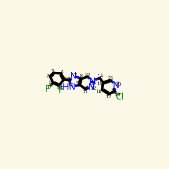 Fc1cccc(-c2nc3c([nH]2)C=NN(Cc2ccc(Cl)nc2)C3)c1F